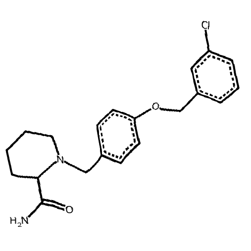 NC(=O)C1CCCCN1Cc1ccc(OCc2cccc(Cl)c2)cc1